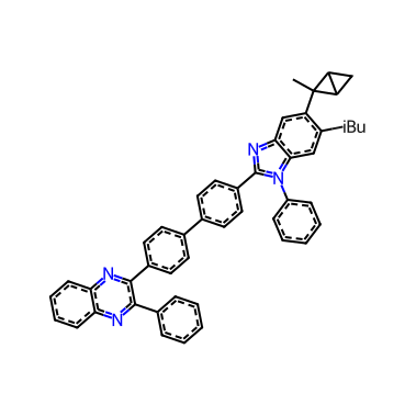 CCC(C)c1cc2c(cc1C1(C)C3CC31)nc(-c1ccc(-c3ccc(-c4nc5ccccc5nc4-c4ccccc4)cc3)cc1)n2-c1ccccc1